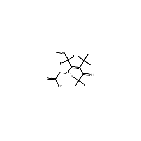 C=C(O)CN/C(=C(\C(=N)C(F)(F)F)C(C)(C)C)C(F)(F)CC